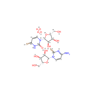 Nc1ccn([C@@H]2O[C@H](CO)[C@@H](O)[C@H]2O)c(=S)n1.O.O.O=c1[nH]c(=S)ccn1[C@@H]1O[C@H](CO)[C@@H](O)[C@H]1O